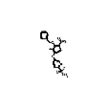 CS(=O)(=O)c1ccc(Oc2ccc([N+](=O)[O-])c(OCc3ccccc3)c2F)cn1